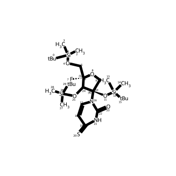 CC(C)(C)[Si](C)(C)OC[C@@]1(F)OC[C@](O[Si](C)(C)C(C)(C)C)(n2ccc(=S)[nH]c2=O)C1O[Si](C)(C)C(C)(C)C